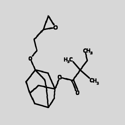 CCC(C)(C)C(=O)OC12CC3CC(CC(OCCC4CO4)(C3)C1)C2